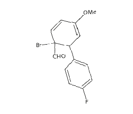 COC1=CC(c2ccc(F)cc2)C(Br)(C=O)C=C1